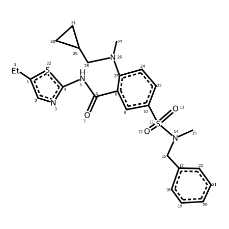 CCc1cnc(NC(=O)c2cc(S(=O)(=O)N(C)Cc3ccccc3)ccc2N(C)CC2CC2)s1